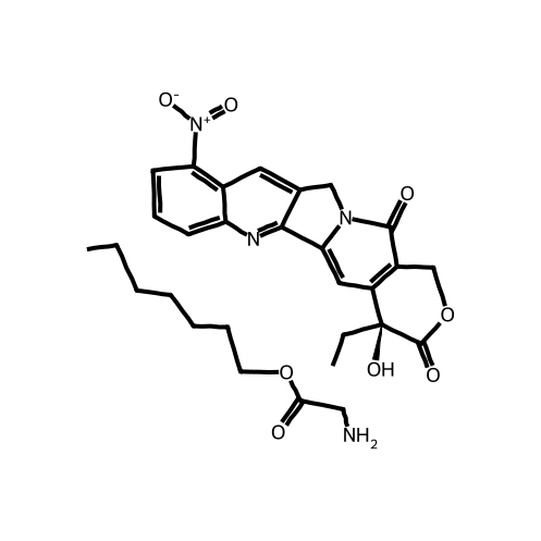 CCCCCCCOC(=O)CN.CC[C@@]1(O)C(=O)OCc2c1cc1n(c2=O)Cc2cc3c([N+](=O)[O-])cccc3nc2-1